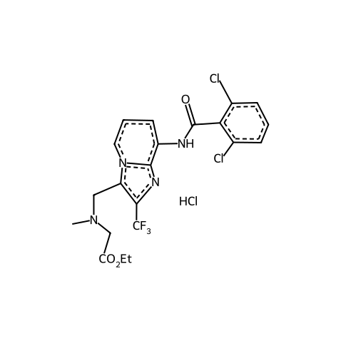 CCOC(=O)CN(C)Cc1c(C(F)(F)F)nc2c(NC(=O)c3c(Cl)cccc3Cl)cccn12.Cl